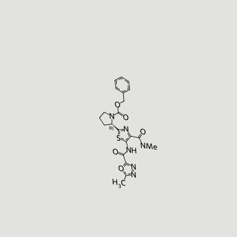 CNC(=O)c1nc([C@H]2CCCN2C(=O)OCc2ccccc2)sc1NC(=O)c1nnc(C)o1